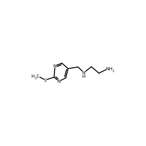 CSc1ncc(CNCCN)cn1